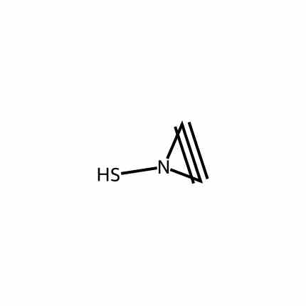 SN1C#C1